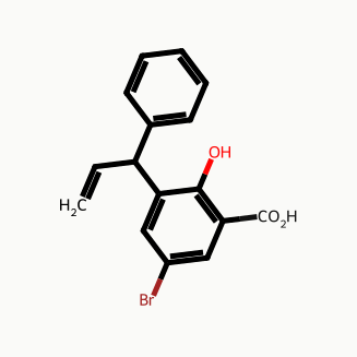 C=CC(c1ccccc1)c1cc(Br)cc(C(=O)O)c1O